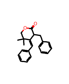 CC1(C)COC(=O)C(Cc2ccccc2)C1=Cc1ccccc1